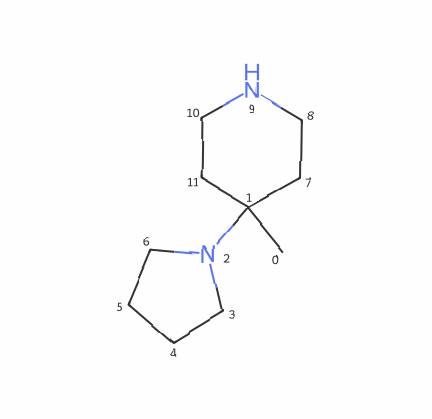 CC1(N2CCCC2)CCNCC1